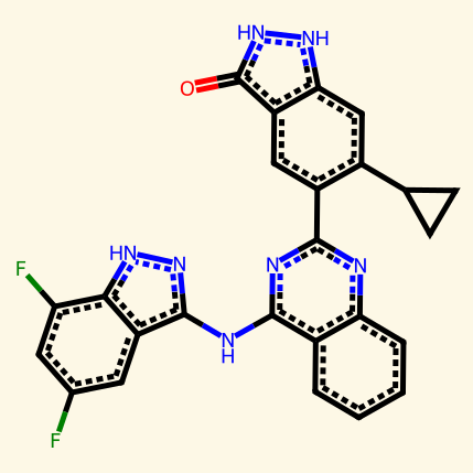 O=c1[nH][nH]c2cc(C3CC3)c(-c3nc(Nc4n[nH]c5c(F)cc(F)cc45)c4ccccc4n3)cc12